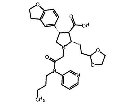 CCCCN(C(=O)CN1C[C@H](c2ccc3c(c2)CCO3)[C@@H](C(=O)O)[C@@H]1CCC1OCCO1)c1cccnc1